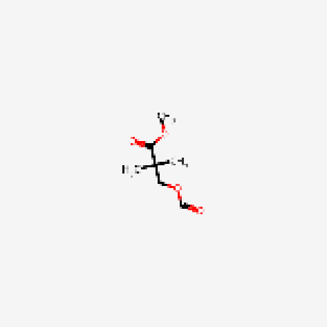 COC(=O)C(C)(C)COC=O